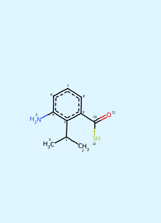 CC(C)c1c(N)cccc1C(=O)S